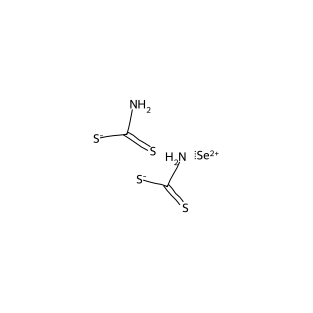 NC(=S)[S-].NC(=S)[S-].[Se+2]